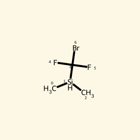 C[SiH](C)C(F)(F)Br